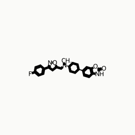 CN(CC1CC(c2ccc(F)cc2)=NO1)[C@H]1CC[C@H](c2ccc3[nH]c(=O)oc3c2)CC1